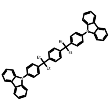 CCC(CC)(c1ccc(-n2c3ccccc3c3ccccc32)cc1)c1ccc(C(CC)(CC)c2ccc(-n3c4ccccc4c4ccccc43)cc2)cc1